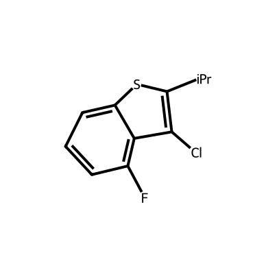 CC(C)c1sc2cccc(F)c2c1Cl